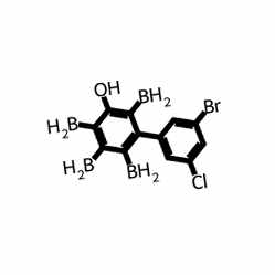 Bc1c(B)c(O)c(B)c(-c2cc(Cl)cc(Br)c2)c1B